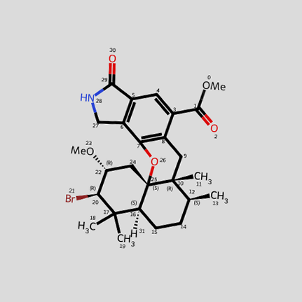 COC(=O)c1cc2c(c3c1C[C@]1(C)[C@@H](C)CC[C@H]4C(C)(C)[C@@H](Br)[C@H](OC)C[C@]41O3)CNC2=O